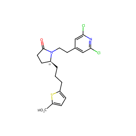 O=C(O)c1ccc(CCC[C@H]2CCC(=O)N2CCc2cc(Cl)nc(Cl)c2)s1